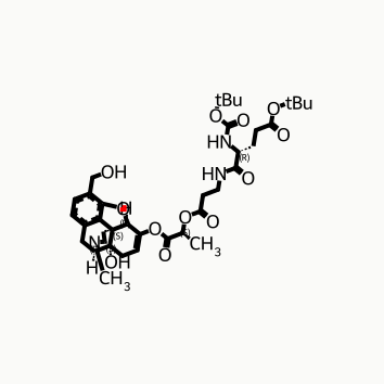 C[C@H](OC(=O)CCNC(=O)[C@@H](CCC(=O)OC(C)(C)C)NC(=O)OC(C)(C)C)C(=O)OC1=CC[C@@]2(O)[C@H]3Cc4ccc(CO)c5c4[C@@]2(CCN3C)[C@H]1O5